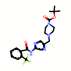 CC(C)(C)OC(=O)N1CCN(Cc2cnc(NC(=O)c3ccccc3C(F)(F)F)cn2)CC1